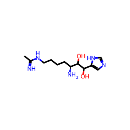 CC(=N)NCCCC[C@H](N)C(O)C(O)c1cnc[nH]1